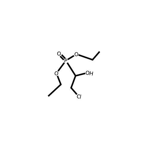 CCOP(=O)(OCC)C(O)CCl